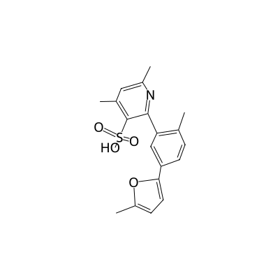 Cc1cc(C)c(S(=O)(=O)O)c(-c2cc(-c3ccc(C)o3)ccc2C)n1